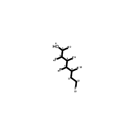 OC(F)C(F)C(F)C(F)C(F)CCF